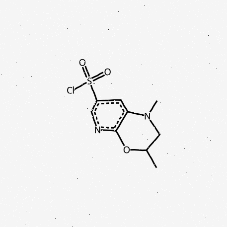 CC1CN(C)c2cc(S(=O)(=O)Cl)cnc2O1